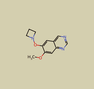 COc1cc2ncncc2cc1ON1CCC1